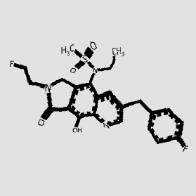 CCN(c1c2c(c(O)c3ncc(Cc4ccc(F)cc4)cc13)C(=O)N(CCF)C2)S(C)(=O)=O